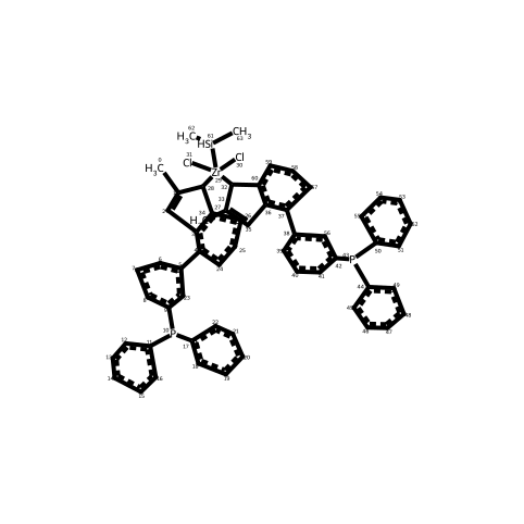 CC1=Cc2c(-c3cccc(P(c4ccccc4)c4ccccc4)c3)cccc2[CH]1[Zr]([Cl])([Cl])([CH]1C(C)=Cc2c(-c3cccc(P(c4ccccc4)c4ccccc4)c3)cccc21)[SiH](C)C